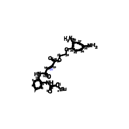 CC(C)(C)OC(=O)Nc1ccccc1NC(=O)/C=C/C(=O)OCCOc1ccc(N)cc1N